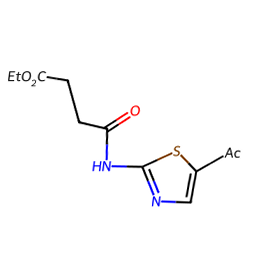 CCOC(=O)CCC(=O)Nc1ncc(C(C)=O)s1